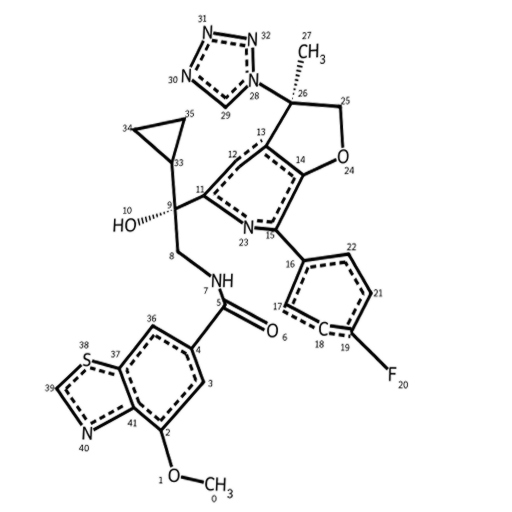 COc1cc(C(=O)NC[C@](O)(c2cc3c(c(-c4ccc(F)cc4)n2)OC[C@]3(C)n2cnnn2)C2CC2)cc2scnc12